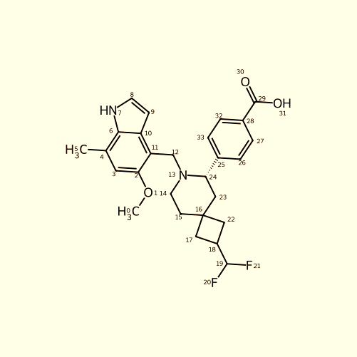 COc1cc(C)c2[nH]ccc2c1CN1CCC2(CC(C(F)F)C2)C[C@H]1c1ccc(C(=O)O)cc1